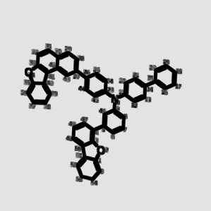 C1=c2oc3c(-c4cccc(N(c5ccc(-c6ccccc6)cc5)c5ccc(-c6ccc7ccc8oc9ccccc9c8c7c6)cc5)c4)cccc3c2=CCC1